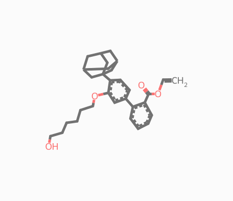 C=COC(=O)c1ccccc1-c1ccc(C23CC4CC(CC(C4)C2)C3)c(OCCCCCCO)c1